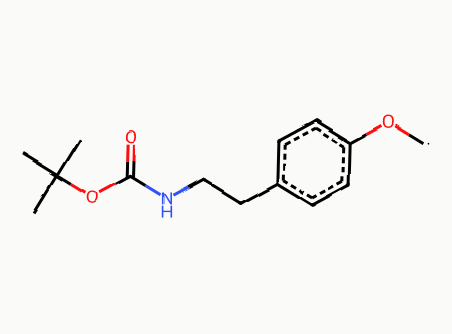 [CH2]Oc1ccc(CCNC(=O)OC(C)(C)C)cc1